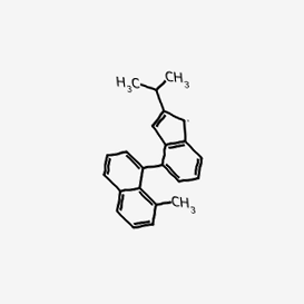 Cc1cccc2cccc(-c3cccc4c3C=C(C(C)C)[CH]4)c12